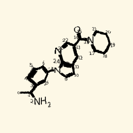 CC(N)c1cccc(-n2ccc3cc(C(=O)N4CCCCC4)cnc32)c1